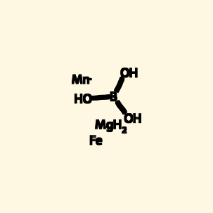 OB(O)O.[Fe].[MgH2].[Mn]